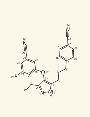 CCc1n[nH]c(CCCc2ccc(C#N)cc2)c1Oc1cc(F)cc(C#N)c1